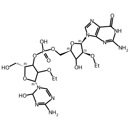 CCOC1C(OP(=O)(O)OC[C@H]2O[C@@H](n3cnc4c(=O)[nH]c(N)nc43)[C@@H](OCC)C2O)[C@@H](CO)O[C@H]1N1C=NC(N)=NC1O